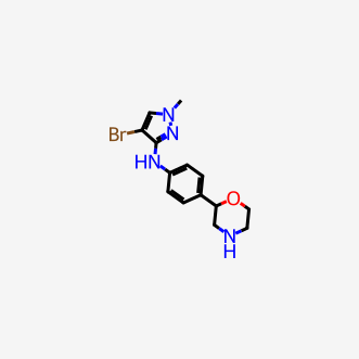 Cn1cc(Br)c(Nc2ccc(C3CNCCO3)cc2)n1